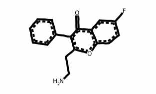 NCCc1oc2ccc(F)cc2c(=O)c1-c1ccccc1